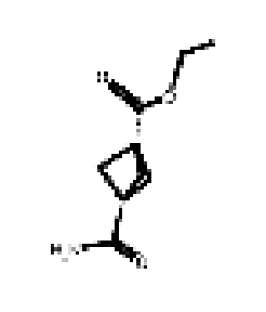 CCOC(=O)[C@]12C[C@@](C(N)=O)(C1)C2